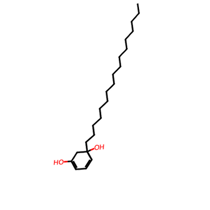 CCCCCCCCCCCCCCCCCC1(O)C=CC=C(O)C1